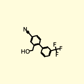 N#Cc1ccc(-c2cccc(C(F)(F)F)c2)c(CO)c1